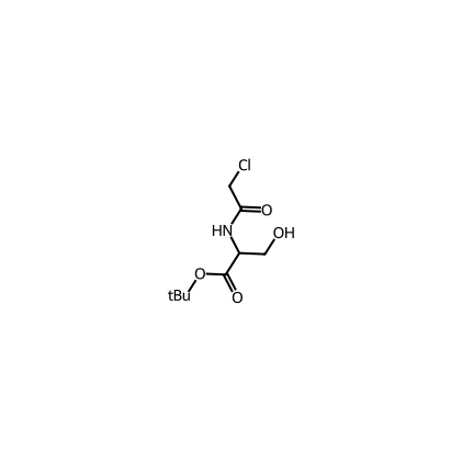 CC(C)(C)OC(=O)C(CO)NC(=O)CCl